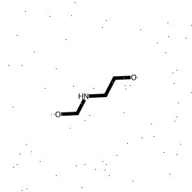 [O]CCNC[O]